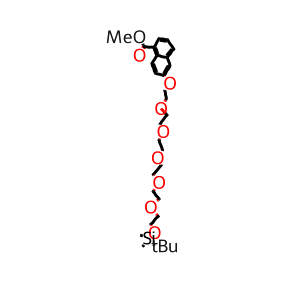 COC(=O)c1cccc2cc(OCCOCCOCCOCCOCCOCCO[Si](C)(C)C(C)(C)C)ccc12